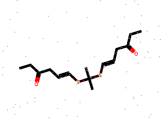 CCC(=O)CC=CSC(C)(C)SC=CCC(=O)CC